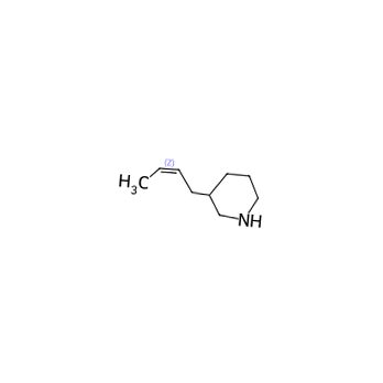 C/C=C\CC1CCCNC1